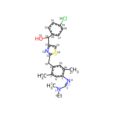 CCN(C)/C=N\c1cc(C)c(Cc2nc(C(O)c3ccc(Cl)cc3)cs2)cc1C